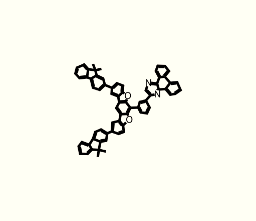 CC1(C)c2ccccc2-c2ccc(-c3ccc4oc5c(-c6cccc(-c7cnc8c9ccccc9c9ccccc9c8n7)c6)c6oc7ccc(-c8ccc9c(c8)C(C)(C)c8ccccc8-9)cc7c6cc5c4c3)cc21